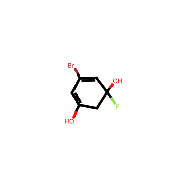 OC1=CC(Br)=CC(O)(F)C1